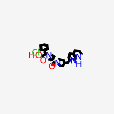 O=C(O)[C@H](c1ccccc1Cl)N1CC[C@@H](C(=O)N2CCC(Cc3ccc4c(n3)NCCC4)CC2)C1